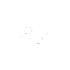 FC(F)(F)C1=CC=CC(Oc2ccccc2Cl)C1